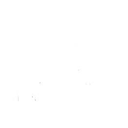 O=C(OCCNCl)c1ccccc1